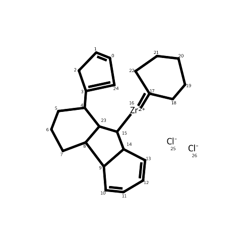 C1=CCC(C2CCCC3C4C=CC=CC4[CH]([Zr+2]=[C]4CCCCC4)C23)=C1.[Cl-].[Cl-]